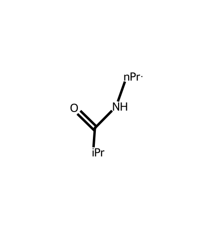 CC[CH]NC(=O)C(C)C